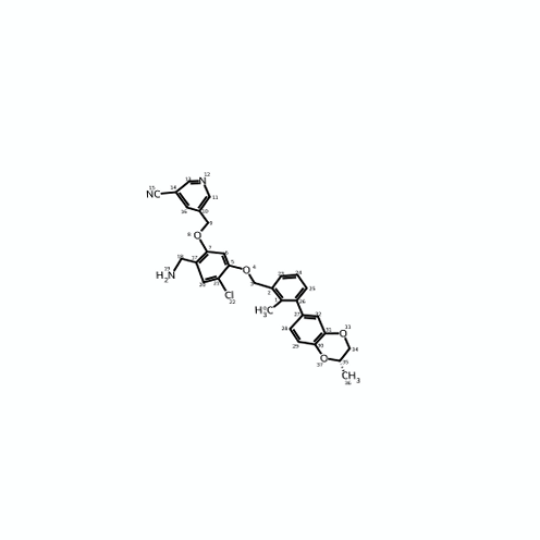 Cc1c(COc2cc(OCc3cncc(C#N)c3)c(CN)cc2Cl)cccc1-c1ccc2c(c1)OC[C@H](C)O2